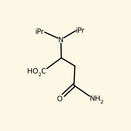 CC(C)N(C(C)C)C(CC(N)=O)C(=O)O